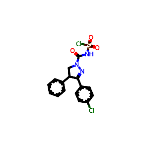 O=C(NS(=O)(=O)Cl)N1CC(c2ccccc2)C(c2ccc(Cl)cc2)=N1